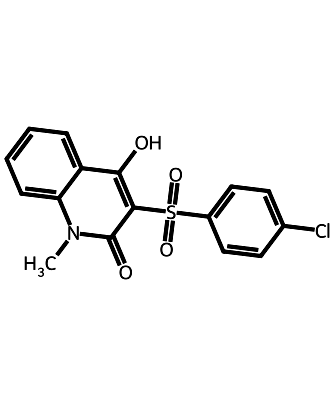 Cn1c(=O)c(S(=O)(=O)c2ccc(Cl)cc2)c(O)c2ccccc21